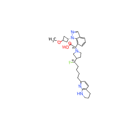 CO[C@H]1C[C@H](n2ncc3cccc([C@H](C(=O)O)N4CCC([C@H](F)CCCCc5ccc6c(n5)NCCC6)C4)c32)C1